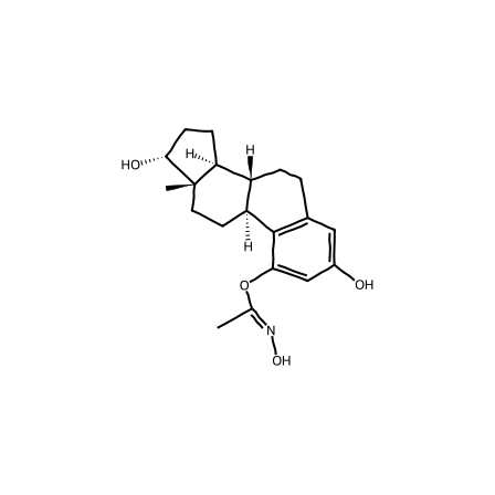 CC(=NO)Oc1cc(O)cc2c1[C@H]1CC[C@]3(C)[C@H](O)CC[C@H]3[C@@H]1CC2